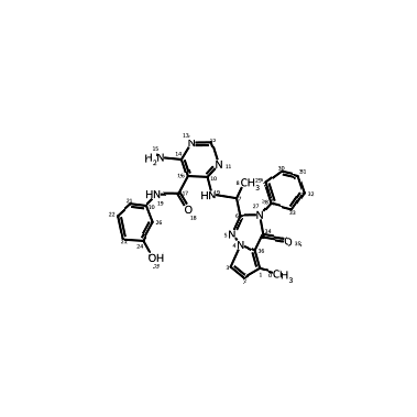 Cc1ccn2nc(C(C)Nc3ncnc(N)c3C(=O)Nc3cccc(O)c3)n(-c3ccccc3)c(=O)c12